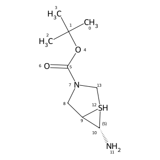 CC(C)(C)OC(=O)N1CC2[C@@H](N)[SH]2C1